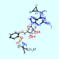 CC(C)C(C)(N[PH](=O)Oc1ccccc1OC[C@H]1O[C@@H](n2cnc3c(N(C)C4CC4)nc(N)nc32)[C@](C)(O)[C@@H]1O)C(=O)O